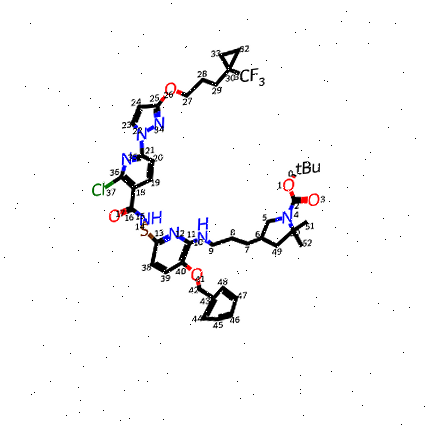 CC(C)(C)OC(=O)N1CC(CCCNc2nc(SNC(=O)c3ccc(-n4ccc(OCCCC5(C(F)(F)F)CC5)n4)nc3Cl)ccc2OCc2ccccc2)CC1(C)C